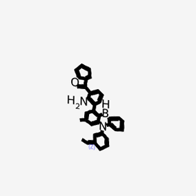 C/C=C1\C=C(N2c3ccccc3Bc3c(-c4cccc(-c5coc6ccccc56)c4N)cc(C)cc32)C=CC1